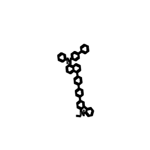 CCn1c2ccccc2c2cc(-c3ccc(-c4ccc(-c5cccc6c(N(c7ccccc7)c7ccc(-c8ccccc8)cc7)cccc56)cc4)cc3)ccc21